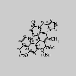 CC(=O)[C@@H](OC(C)(C)C)c1c(C)cc2c(ccc(=O)n2Cc2cncs2)c1-c1ccc2c3c(ccnc13)CCO2